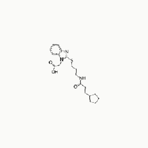 O=C(O)Cn1c(SCCCNC(=O)CCC2CCCC2)nc2ccccc21